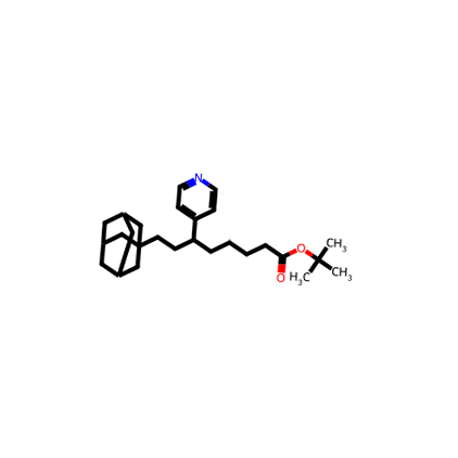 CC(C)(C)OC(=O)CC[CH]CC(CCC12CC3CC(CC(C3)C1)C2)c1ccncc1